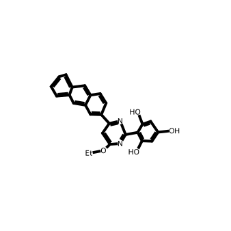 CCOc1cc(-c2ccc3cc4ccccc4cc3c2)nc(-c2c(O)cc(O)cc2O)n1